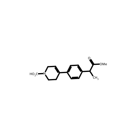 COC(=O)C(C)c1ccc(C2=CCN(C(=O)O)CC2)cc1